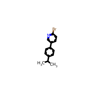 CC(C)c1ccc(-c2ccc(Br)nc2)cc1